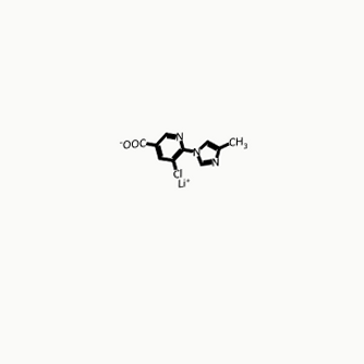 Cc1cn(-c2ncc(C(=O)[O-])cc2Cl)cn1.[Li+]